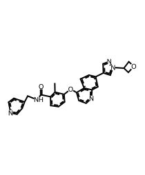 Cc1c(Oc2ccnc3cc(-c4cnn(C5COC5)c4)ccc23)cccc1C(=O)NCc1ccncc1